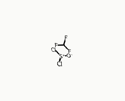 FC(F)F.[O-][S+](Cl)Cl